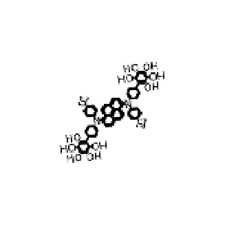 C[Si](C)(C)c1ccc(N(c2ccc(-c3c(O)c(O)c(O)c(O)c3O)cc2)c2ccc3ccc4c(N(c5ccc(-c6c(O)c(O)c(O)c(O)c6O)cc5)c5ccc([Si](C)(C)C)cc5)ccc5ccc2c3c54)cc1